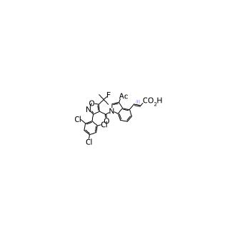 CC(=O)c1cn(C(=O)c2c(-c3c(Cl)cc(Cl)cc3Cl)noc2C(C)(C)F)c2cccc(/C=C/C(=O)O)c12